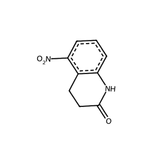 O=C1CCc2c(cccc2[N+](=O)[O-])N1